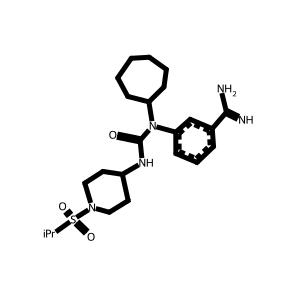 CC(C)S(=O)(=O)N1CCC(NC(=O)N(c2cccc(C(=N)N)c2)C2CCCCCC2)CC1